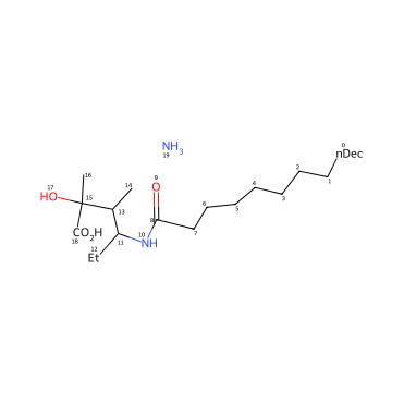 CCCCCCCCCCCCCCCCCC(=O)NC(CC)C(C)C(C)(O)C(=O)O.N